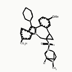 COc1ccc2c(c1)C1CC1(S(=O)(=O)N1C[C@@H]3CC1CN3C)Cn1c-2c(C2CCCCC2)c2ccc(C(=O)O)cc21